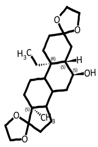 CC[C@]12CCC3(C[C@@H]1[C@@H](O)CC1C2CC[C@@]2(C)C1CCC21OCCO1)OCCO3